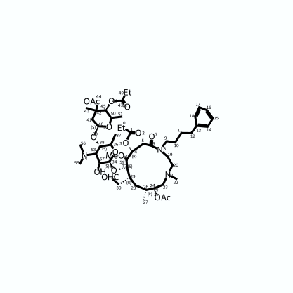 CCC(=O)O[C@@H]1CC(=O)N(CCCCc2ccccc2)CCN(C)C[C@H](OC(C)=O)[C@H](C)C[C@H](CC=O)[C@H](O[C@@H]2OC(C)[C@@H](O[C@H]3CC(C)(OC(C)=O)[C@@H](OC(=O)CC)C(C)O3)C(N(C)C)C2O)[C@H]1OC